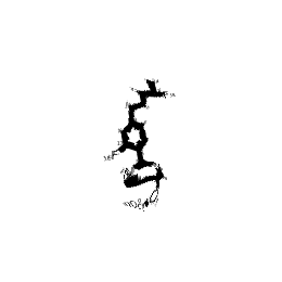 CCCCCCCCOc1cnc(-c2ccc(CCCC(C)F)cc2F)nc1